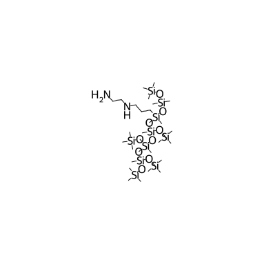 C[Si](C)(C)O[Si](C)(C)O[Si](C)(CCCNCCN)O[Si](C)(O[Si](C)(C)C)O[Si](C)(O[Si](C)(C)C)O[Si](C)(O[Si](C)(C)C)O[Si](C)(C)C